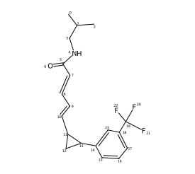 CC(C)CNC(=O)C=CC=CC1CC1c1cccc(C(F)(F)F)c1